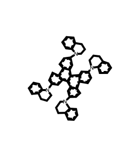 c1ccc2c(c1)CCCN2c1ccc2c3ccc(N4CCCc5ccccc54)cc3c3c4cc(N5CCCc6ccccc65)ccc4c4ccc(N5CCCc6ccccc65)cc4c3c2c1